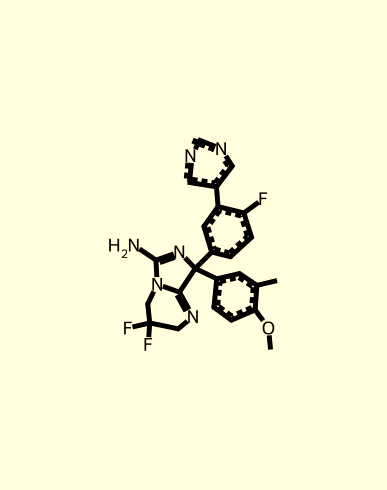 COc1ccc(C2(c3ccc(F)c(-c4cncnc4)c3)N=C(N)N3CC(F)(F)CN=C32)cc1C